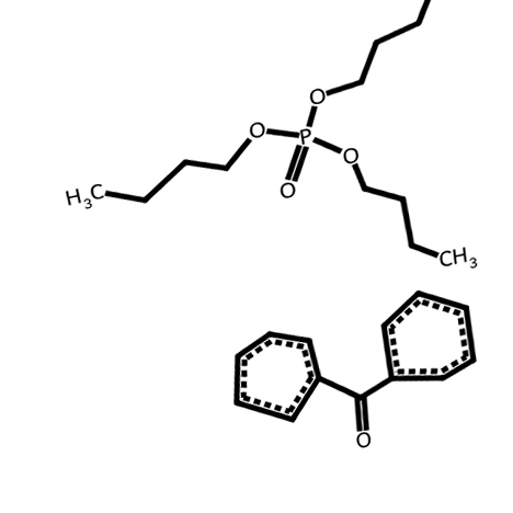 CCCCOP(=O)(OCCCC)OCCCC.O=C(c1ccccc1)c1ccccc1